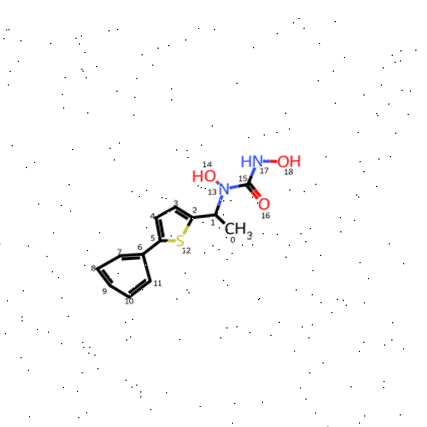 CC(c1ccc(-c2ccccc2)s1)N(O)C(=O)NO